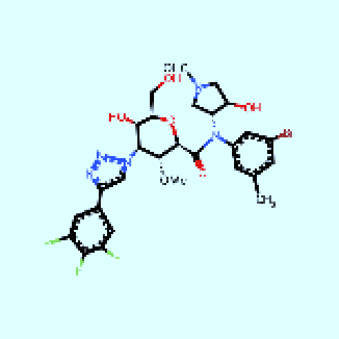 CO[C@@H]1[C@@H](n2cc(-c3cc(F)c(F)c(F)c3)nn2)[C@@H](O)[C@@H](CO)O[C@H]1C(=O)N(c1cc(C)cc(Br)c1)[C@@H]1CN(C=O)C[C@H]1O